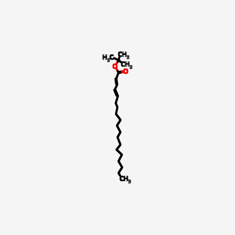 CCCCCCCCCCCCCCC=CC=CC(=O)OC(C)(C)C